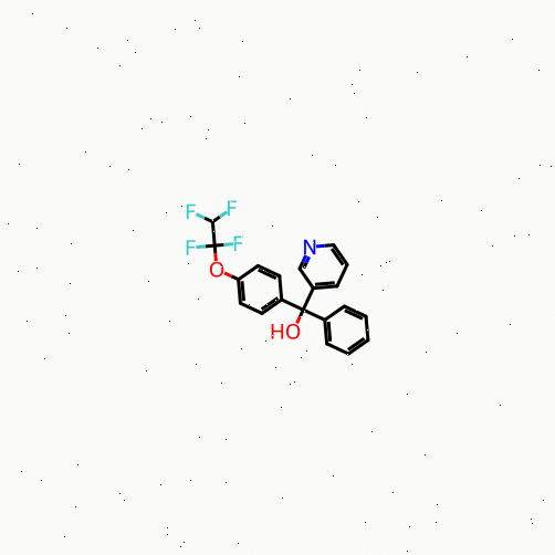 OC(c1ccccc1)(c1ccc(OC(F)(F)C(F)F)cc1)c1cccnc1